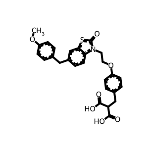 COc1ccc(Cc2ccc3c(c2)sc(=O)n3CCOc2ccc(CC(C(=O)O)C(=O)O)cc2)cc1